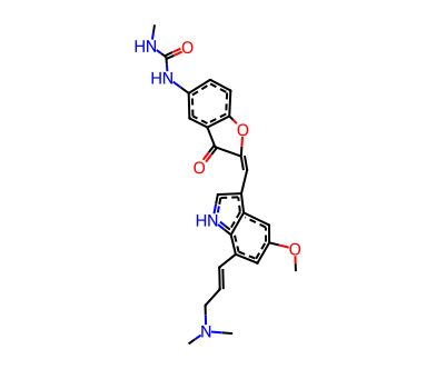 CNC(=O)Nc1ccc2c(c1)C(=O)C(=Cc1c[nH]c3c(C=CCN(C)C)cc(OC)cc13)O2